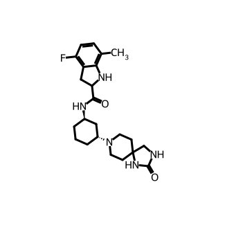 Cc1ccc(F)c2c1NC(C(=O)N[C@@H]1CCC[C@@H](N3CCC4(CC3)CNC(=O)N4)C1)C2